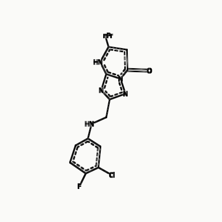 CCCc1cc(=O)n2nc(CNc3ccc(F)c(Cl)c3)nc2[nH]1